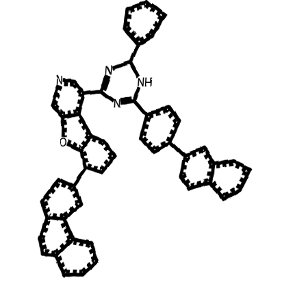 c1ccc(C2N=C(c3cncc4oc5c(-c6ccc7ccc8ccccc8c7c6)cccc5c34)N=C(c3ccc(-c4ccc5ccccc5c4)cc3)N2)cc1